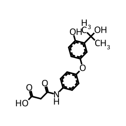 CC(C)(O)c1cc(Oc2ccc(NC(=O)CC(=O)O)cc2)ccc1O